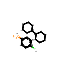 C1CCC(C2CCCCC2)CC1.Pc1ccc(Cl)cc1